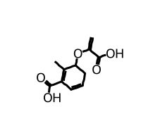 C=C(OC1CC=CC(C(=O)O)=C1C)C(=O)O